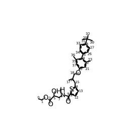 CCOC(=O)C(O)CNC(=O)c1ccc(CC(C)COc2cc(C)c(-c3ccc(C(C)(C)C)cc3)c(C)c2)s1